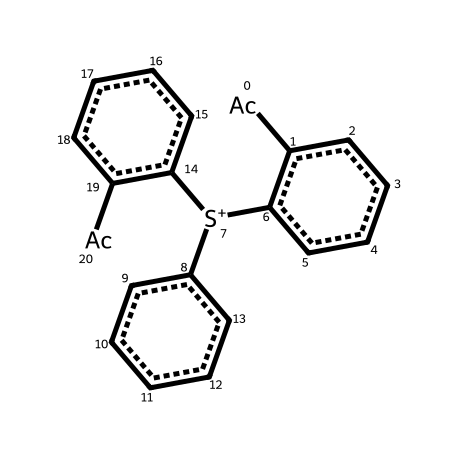 CC(=O)c1ccccc1[S+](c1ccccc1)c1ccccc1C(C)=O